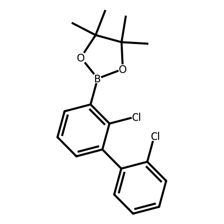 CC1(C)OB(c2cccc(-c3ccccc3Cl)c2Cl)OC1(C)C